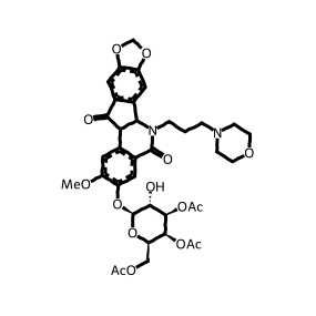 COc1cc2c(cc1O[C@@H]1O[C@H](COC(C)=O)[C@H](OC(C)=O)[C@H](OC(C)=O)[C@H]1O)C(=O)N(CCCN1CCOCC1)C1c3cc4c(cc3C(=O)C21)OCO4